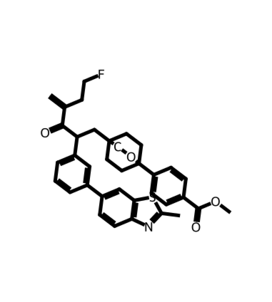 C=C(CCF)C(=O)C(CC12CCC(c3ccc(C(=O)OC)cc3)(CC1)OC2)c1cccc(-c2ccc3nc(C)sc3c2)c1